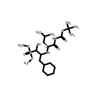 COP(=O)(OC)C(O)C(CC1CCCCC1)N[C@@H](CC(C)C)C(=O)NC(=O)OC(C)(C)C